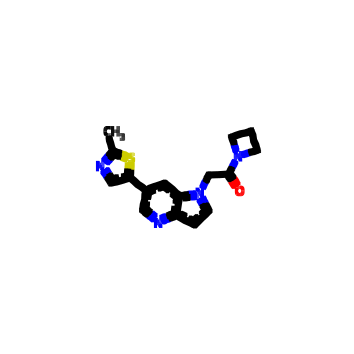 Cc1ncc(-c2cnc3ccn(CC(=O)N4CCC4)c3c2)s1